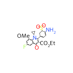 CCOC(=O)c1c(C2=CC=C(N)C(=S(=O)=O)C2)n(C2CC2)c2c(OC)cc(F)cc2c1=O